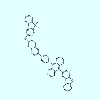 CC1(C)c2ccccc2-c2cc3oc4cc5ccc(-c6ccc(-c7c8ccccc8c(-c8ccc9oc%10ccccc%10c9c8)c8ccccc78)cc6)cc5cc4c3cc21